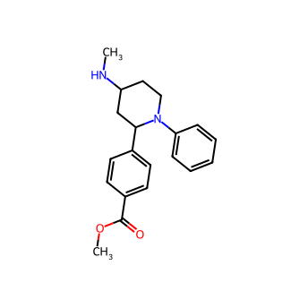 CNC1CCN(c2ccccc2)C(c2ccc(C(=O)OC)cc2)C1